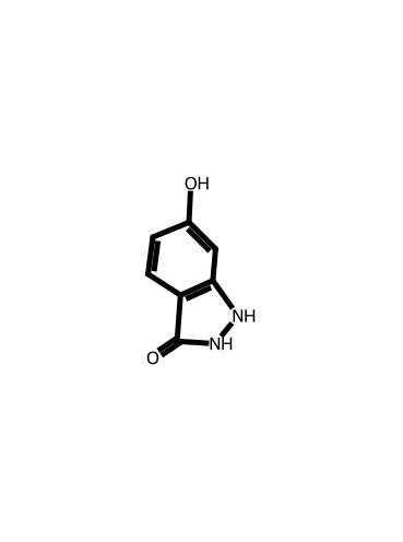 O=c1[nH][nH]c2cc(O)ccc12